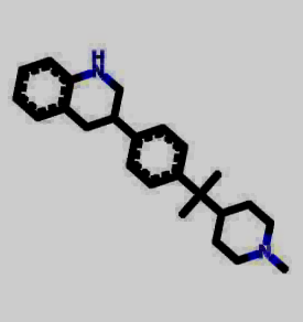 CN1CCC(C(C)(C)c2ccc(C3CNc4ccccc4C3)cc2)CC1